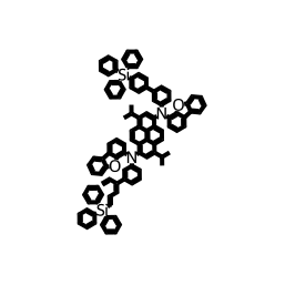 C=C/C(=C\C=C\[Si](c1ccccc1)(c1ccccc1)c1ccccc1)c1cccc(N(c2cc(C(C)C)c3ccc4c(N(c5cccc(-c6ccc([Si](c7ccccc7)(c7ccccc7)c7ccccc7)cc6)c5)c5cccc6c5oc5ccccc56)cc(C(C)C)c5ccc2c3c54)c2cccc3c2oc2ccccc23)c1